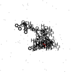 CC[C@H](C)[C@@H]([C@@H](CC(=O)N1CCC[C@H]1[C@H](OC)[C@@H](C)C(=O)N[C@@H](Cc1ccccc1)c1nccs1)OC)N(C)C(=O)[C@@H](NC(=O)[C@H](C(C)C)N(C)C(=O)OCc1ccc(NC(=O)[C@H](C)NC(=O)[C@@H](NC(=O)CCC(=O)N(CCOCCOCCC(=O)O)C2CCN(C(=O)CCn3c(CN(C)N(C)C(=O)OCC4c5ccccc5-c5ccccc54)cc4ccccc43)CC2)C(C)C)cc1)C(C)C